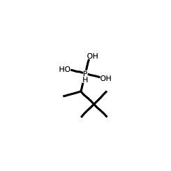 CC(C(C)(C)C)[PH](O)(O)O